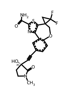 CN1CC[C@@](O)(C#Cc2ccc3c(c2)-c2nc(C(N)=O)sc2C2(CO3)CC2(F)F)C1=O